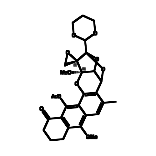 COc1c2c(c(OC(C)=O)c3c4c(c(C)cc13)C1OC3(C5OCCCO5)OC1[C@@](OC)(O4)[C@@]31CO1)C(=O)CCC2